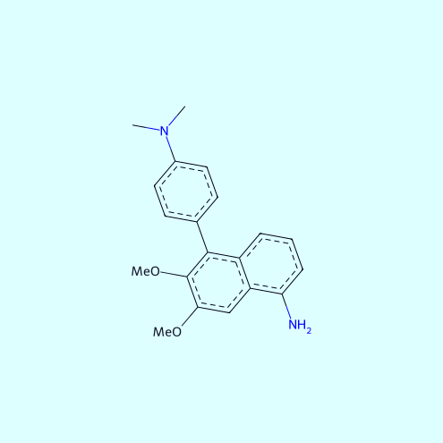 COc1cc2c(N)cccc2c(-c2ccc(N(C)C)cc2)c1OC